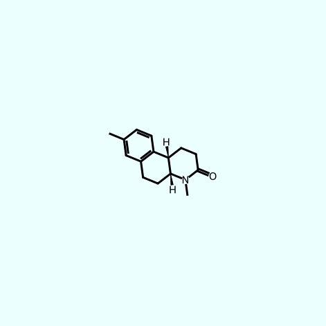 Cc1ccc2c(c1)CC[C@@H]1[C@H]2CCC(=O)N1C